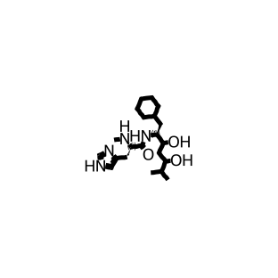 CN[C@@H](Cc1c[nH]cn1)C(=O)N[C@@H](CC1CCCCC1)C(O)CC(O)C(C)C